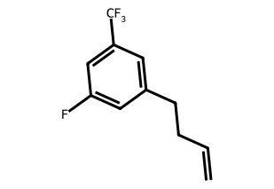 C=CCCc1cc(F)cc(C(F)(F)F)c1